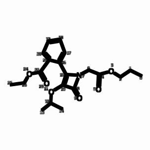 CCCOC(=O)CN1C(=O)C(OC(C)C)=C1c1ccccc1C(=O)OCC